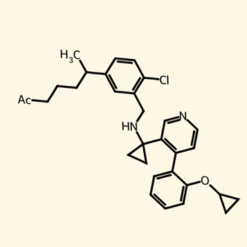 CC(=O)CCCC(C)c1ccc(Cl)c(CNC2(c3cnccc3-c3ccccc3OC3CC3)CC2)c1